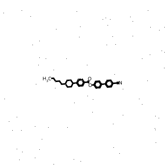 CCCCCC1CCC(c2ccc(C(=O)Oc3ccc(-c4ccc(C#N)cc4)cc3)cc2)CC1